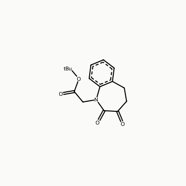 CC(C)(C)OC(=O)CN1C(=O)C(=O)CCc2ccccc21